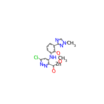 COc1c(Nc2cc(Cl)nnc2[C](=O)[Zn]=[O])cccc1-c1ncn(C)n1